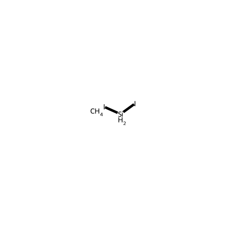 C.I[SiH2]I